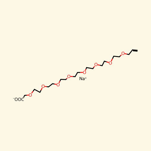 C=CCOCCOCCOCCOCCOCCOCCOCCOCC(=O)[O-].[Na+]